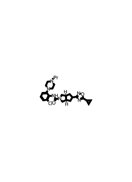 CC(C)N1CCN(c2cccc(Cl)c2NC(=O)N2C[C@H]3CC(c4noc(C5CC5)n4)C[C@H]3C2)CC1